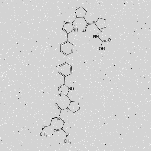 COCC[C@H](NC(=O)OC)C(=O)N1CCCC1c1ncc(-c2ccc(-c3ccc(-c4cnc(C5CCCN5C(=O)[C@H]5CCC[C@@H]5NC(=O)O)[nH]4)cc3)cc2)[nH]1